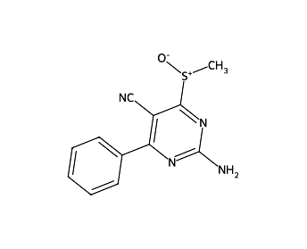 C[S+]([O-])c1nc(N)nc(-c2ccccc2)c1C#N